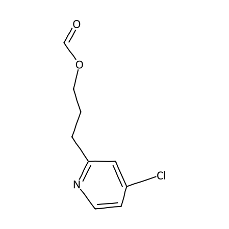 O=COCCCc1cc(Cl)ccn1